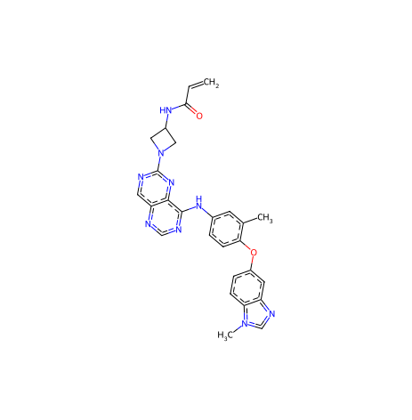 C=CC(=O)NC1CN(c2ncc3ncnc(Nc4ccc(Oc5ccc6c(c5)ncn6C)c(C)c4)c3n2)C1